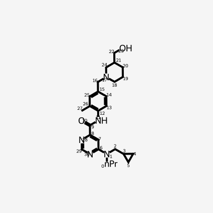 CCCN(CC1CC1)c1cc(C(=O)Nc2ccc(CN3CCCC(CO)C3)cc2C)ncn1